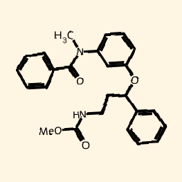 COC(=O)NCCC(Oc1cccc(N(C)C(=O)c2ccccc2)c1)c1ccccc1